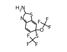 NC1N=C2C=CC(OC(F)(F)F)(SC(F)(F)F)C=C2S1